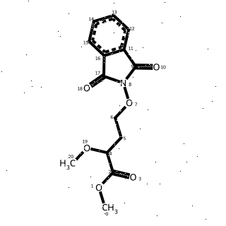 COC(=O)C(CCON1C(=O)c2ccccc2C1=O)OC